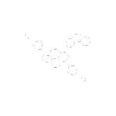 N#Cc1ccc(-c2ccc3ccc4c(-c5ccc(C#N)cc5)cc(-c5ccc6ccc7ccccc7c6c5)c5ccc2c3c45)cc1